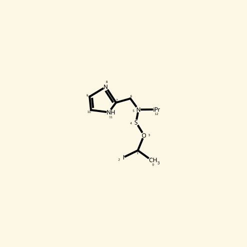 CC(I)OSN(Cc1ncc[nH]1)C(C)C